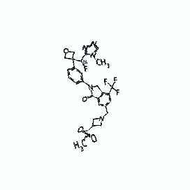 Cn1cnnc1[C@@H](F)C1(c2cccc(N3Cc4c(cc(CN5CC(S(C)(=O)=O)C5)cc4C(F)(F)F)C3=O)c2)COC1